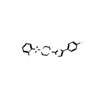 CCCc1ccc(-c2csc(N3CCN(S(=O)(=O)c4ccccc4Br)CC3)n2)cc1